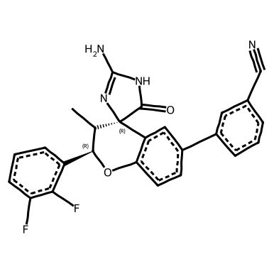 CC1[C@H](c2cccc(F)c2F)Oc2ccc(-c3cccc(C#N)c3)cc2[C@]12N=C(N)NC2=O